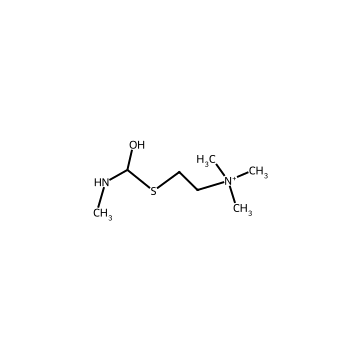 CNC(O)SCC[N+](C)(C)C